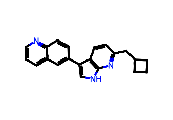 c1cnc2ccc(-c3c[nH]c4nc(CC5CCC5)ccc34)cc2c1